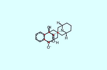 O=C(N[C@H]1C[C@H]2CCC[C@@H](C1)N2[C@H]1C[C@@H]2CCC[C@@H](C2)C1)c1ccccc1[N+](=O)[O-]